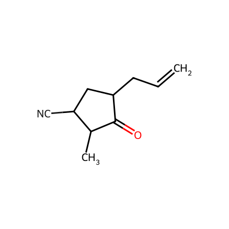 C=CCC1CC(C#N)C(C)C1=O